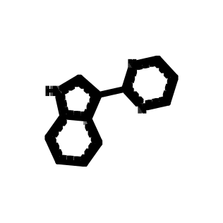 c1cnc(-c2c[nH]c3ccccc23)nc1